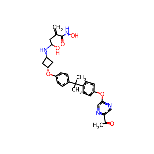 C=C(CC(O)N[C@H]1C[C@@H](Oc2ccc(C(C)(C)c3ccc(Oc4cnc(C(C)=O)cn4)cc3)cc2)C1)C(=O)NO